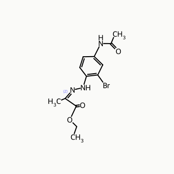 CCOC(=O)/C(C)=N\Nc1ccc(NC(C)=O)cc1Br